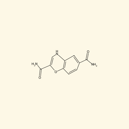 NC(=O)C1=CNc2cc(C(N)=O)ccc2O1